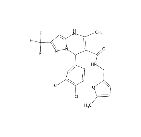 CC1=C(C(=O)NCc2ccc(C)o2)C(c2ccc(Cl)c(Cl)c2)n2nc(C(F)(F)F)cc2N1